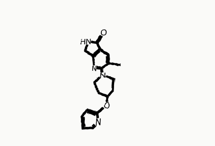 Cc1cc2c(nc1N1CCC(Oc3ccccn3)CC1)CNC2=O